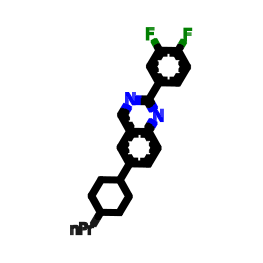 CCCC1CCC(c2ccc3nc(-c4ccc(F)c(F)c4)ncc3c2)CC1